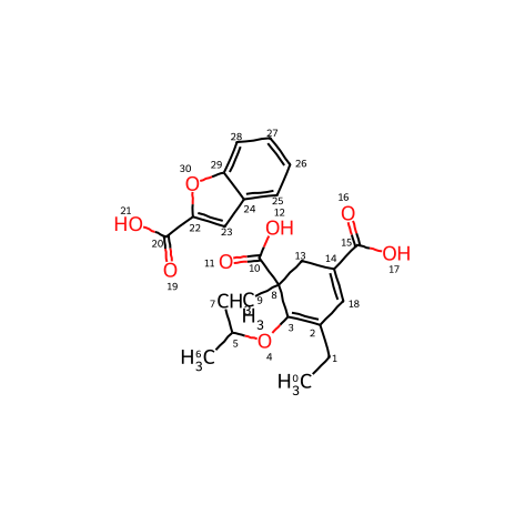 CCC1=C(OC(C)C)C(C)(C(=O)O)CC(C(=O)O)=C1.O=C(O)c1cc2ccccc2o1